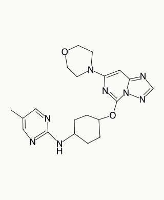 Cc1cnc(NC2CCC(Oc3nc(N4CCOCC4)cc4ncnn34)CC2)nc1